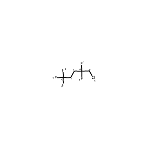 FC(F)(F)CCC(F)(F)CCl